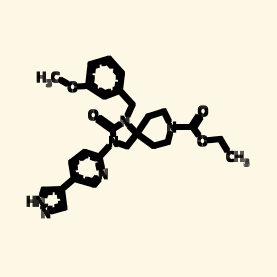 CCOC(=O)N1CCC2(CC1)CN(c1ccc(-c3cn[nH]c3)cn1)C(=O)N2Cc1cccc(OC)c1